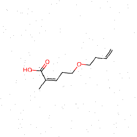 C=CCCOCCC=C(C)C(=O)O